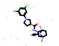 N#CN1[C@H]2CC[C@@H]1[C@H](NC(=O)[C@H]1CCN(c3cc(Cl)cc(Cl)c3)C1)C2